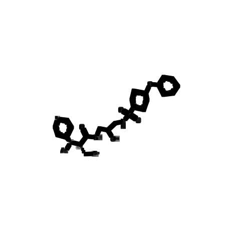 CC(=O)N(c1ccncc1)[C@@H](CC(C)C)C(=O)NCC(O)CNS(=O)(=O)c1ccc(Oc2ccccc2)cc1